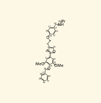 COc1cc(-c2nc(CCOc3ccc(CNC(C)C)cc3)co2)cc(OC)c1OCc1ccccc1